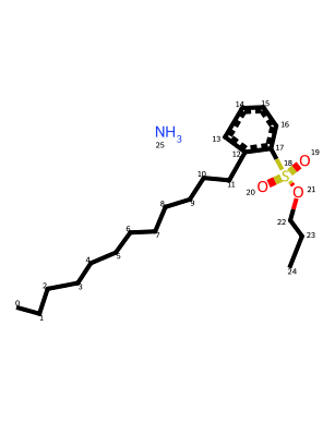 CCCCCCCCCCCCc1ccccc1S(=O)(=O)OCCC.N